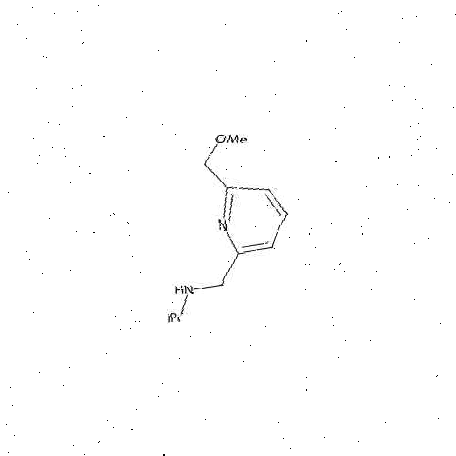 COCc1cccc(CNC(C)C)n1